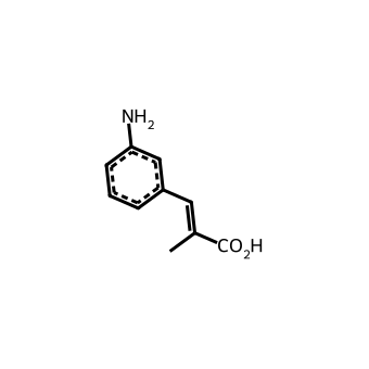 C/C(=C\c1cccc(N)c1)C(=O)O